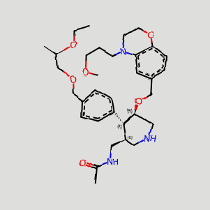 CCOC(C)COCc1ccc([C@H]2[C@H](CNC(C)=O)CNC[C@@H]2OCc2ccc3c(c2)N(CCCOC)CCO3)cc1